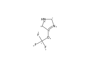 FC(F)(F)OC1=NCN[CH]1